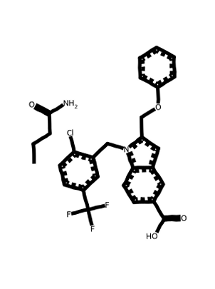 CCCC(N)=O.O=C(O)c1ccc2c(c1)cc(COc1ccccc1)n2Cc1cc(C(F)(F)F)ccc1Cl